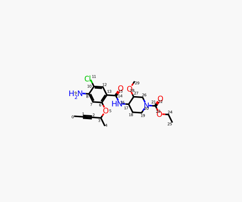 CC#CC(C)Oc1cc(N)c(Cl)cc1C(=O)NC1CCN(C(=O)OCC)CC1OC